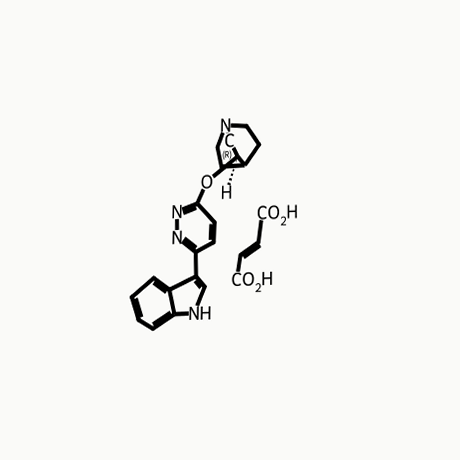 O=C(O)C=CC(=O)O.c1ccc2c(-c3ccc(O[C@H]4CN5CCC4CC5)nn3)c[nH]c2c1